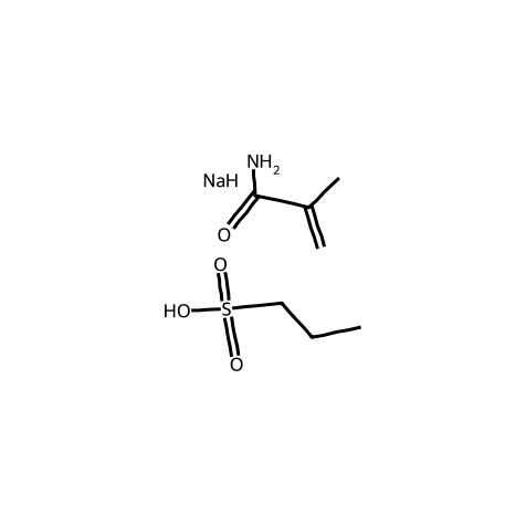 C=C(C)C(N)=O.CCCS(=O)(=O)O.[NaH]